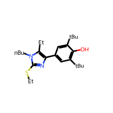 CCCCn1c(SCC)nc(-c2cc(C(C)(C)C)c(O)c(C(C)(C)C)c2)c1CC